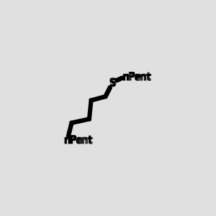 [CH2]CCCCCCCCSCCCCC